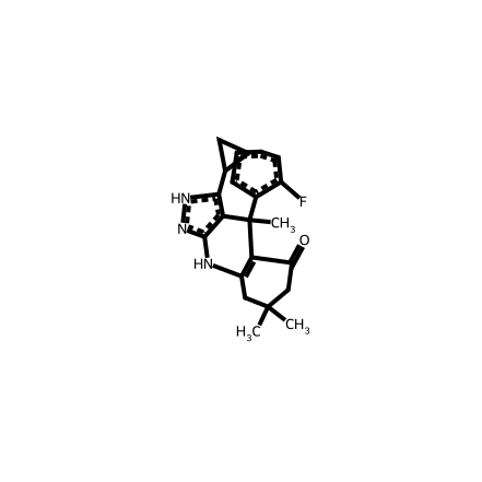 CC1(C)CC(=O)C2=C(C1)Nc1n[nH]c(C3CC3)c1C2(C)c1ccccc1F